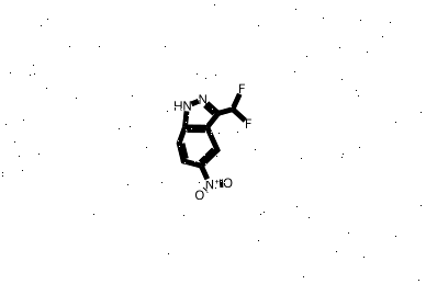 O=[N+]([O-])c1ccc2[nH]nc(C(F)F)c2c1